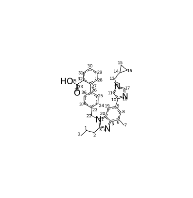 CCCc1nc2c(C)cc(-c3cn(CC4CC4)cn3)cc2n1Cc1ccc(-c2ccccc2C(=O)O)cc1